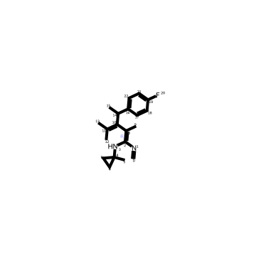 C=N/C(NC1(C)CC1)=C(\C)C(=C(C)C)C(C)c1ccc(F)cc1